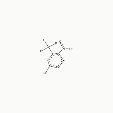 O=[N+]([O-])c1[c]cc(Br)cc1C(F)(F)F